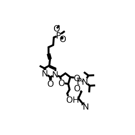 COP(C)(=O)CCCC#Cc1cn(C2CC(OP(OCCC#N)N(C(C)C)C(C)C)C(CCO)O2)c(=O)nc1C